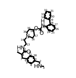 CNCc1ccc(CC(C)C(=O)NCCN2CCC(OC(=O)Nc3ccccc3-c3ccccc3)CC2)cc1